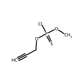 C#CCOP(=S)(Cl)OC